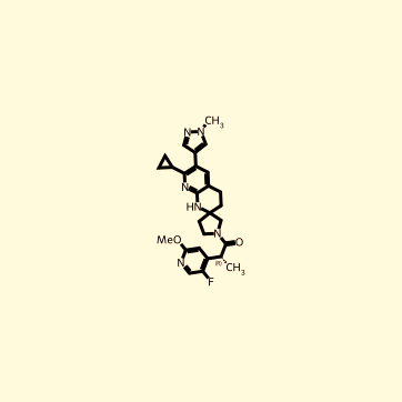 COc1cc([C@@H](C)C(=O)N2CCC3(CCc4cc(-c5cnn(C)c5)c(C5CC5)nc4N3)C2)c(F)cn1